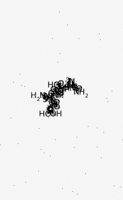 CC1=NC2=CN(C(N)=O)NN2C(SCC2=C(C(=O)O)N3C(=O)[C@@H](NC(=O)C(=NOC(c4ccc(O)c(O)c4)=S(=O)=O)c4csc(N)n4)[C@H]3SC2)=C1